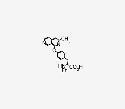 CCN[C@@H](Cc1ccc(Oc2nc(C)cc3ccncc23)cc1)C(=O)O